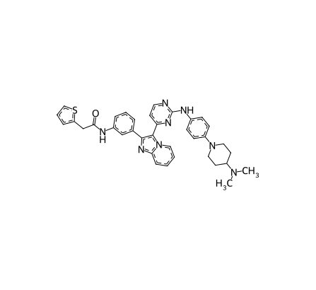 CN(C)C1CCN(c2ccc(Nc3nccc(-c4c(-c5cccc(NC(=O)Cc6cccs6)c5)nc5ccccn45)n3)cc2)CC1